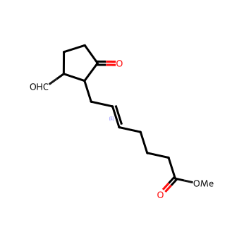 COC(=O)CCC/C=C/CC1C(=O)CCC1C=O